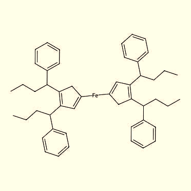 CCCC(C1=C(C(CCC)c2ccccc2)C[C]([Fe][C]2=CC(C(CCC)c3ccccc3)=C(C(CCC)c3ccccc3)C2)=C1)c1ccccc1